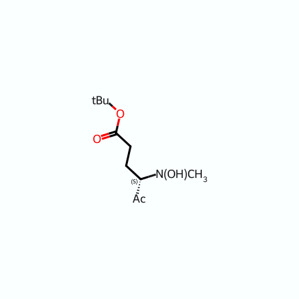 CC(=O)[C@H](CCC(=O)OC(C)(C)C)N(C)O